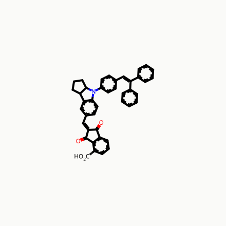 O=C(O)c1cccc2c1C(=O)/C(=C/c1ccc3c(c1)C1CCCC1N3c1ccc(C=C(c3ccccc3)c3ccccc3)cc1)C2=O